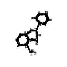 Nc1cccc2cc(-c3ccccc3)cnc12